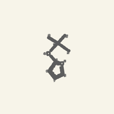 CC(C)(C)Oc1ccco1